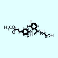 COC(=O)CCc1ccc(Nc2c(C(=O)NOCCO)ccc(F)c2F)c(F)c1